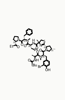 CCC(=O)[C@@H]1CCCN1C(=O)[C@H](Cc1ccccc1)N(C)C(=O)[C@@H](CC(C)C)NC(=O)[C@]1(C)CSC([C@@H]2C[C@H](C)CN2C(=O)[C@@H](Cc2ccc(O)c(Br)c2)N(C)C(=O)[C@H](C)NC(=O)C(C)(C)C)=N1